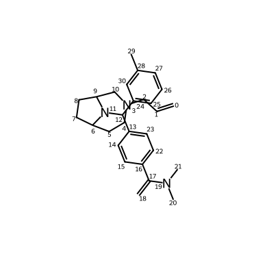 C=CCN1CCC2CCC(C1)N2C(c1ccc(C(=C)N(C)C)cc1)c1cccc(C)c1